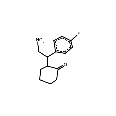 O=C1CCCCC1C(C[N+](=O)[O-])c1ccc(F)cc1